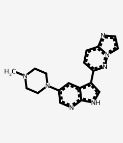 CN1CCN(c2cnc3[nH]cc(-c4ccc5nccn5n4)c3c2)CC1